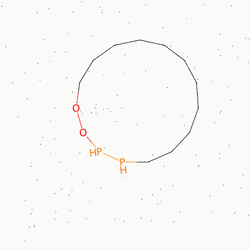 C1CCCCCOOPPCCCCC1